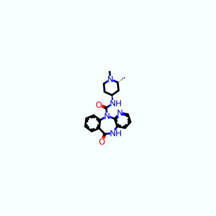 C[C@@H]1C[C@@H](NC(=O)N2c3ccccc3C(=O)Nc3cccnc32)CCN1C